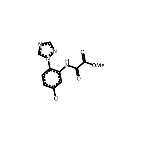 COC(=O)C(=O)Nc1cc(Cl)ccc1-n1cncn1